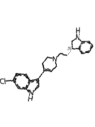 Clc1ccc2c(C3=CCN(CC[C@@H]4CNc5ccccc54)CC3)c[nH]c2c1